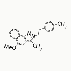 COc1cc2c(C)n(CCc3ccc(C)cc3)nc2c2ccccc12